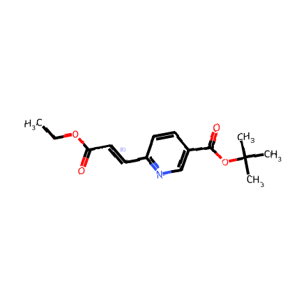 CCOC(=O)/C=C/c1ccc(C(=O)OC(C)(C)C)cn1